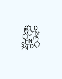 Cc1nc(C(=O)NCC[C@H](Cc2ccccc2)N(C)C(=O)c2cccc3occc23)c(-c2ccc(F)cc2)s1